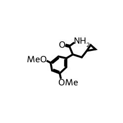 COc1cc(OC)cc(C(CC2CC2)C(N)=O)c1